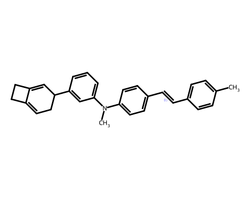 Cc1ccc(/C=C/c2ccc(N(C)c3cccc(C4C=C5CCC5=CC4)c3)cc2)cc1